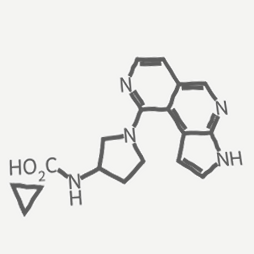 C1CC1.O=C(O)NC1CCN(c2nccc3cnc4[nH]ccc4c23)C1